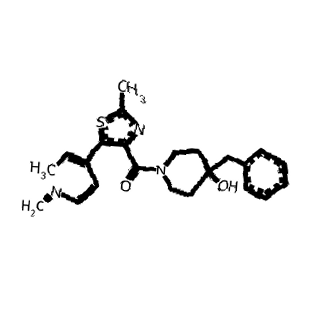 C=N/C=C\C(=C/C)c1sc(C)nc1C(=O)N1CCC(O)(Cc2ccccc2)CC1